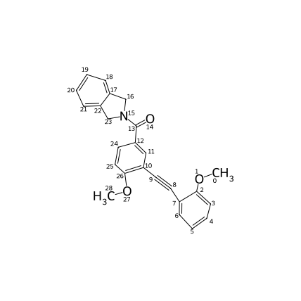 COc1ccccc1C#Cc1cc(C(=O)N2Cc3ccccc3C2)ccc1OC